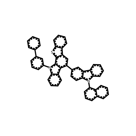 c1ccc(-c2cccc(-n3c4ccccc4c4c(-c5ccc6c(c5)c5ccccc5n6-c5cccc6ccccc56)cc5c6ccccc6sc5c43)c2)cc1